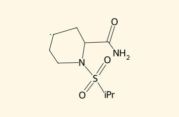 CC(C)S(=O)(=O)N1CC[CH]CC1C(N)=O